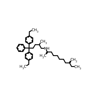 C=C(CC)CCCCCCC(=C)NCC(C)CCC(c1ccccc1)(c1ccc(CC)cc1)c1ccc(CC)cc1